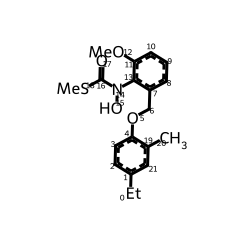 CCc1ccc(OCc2cccc(OC)c2N(O)C(=O)SC)c(C)c1